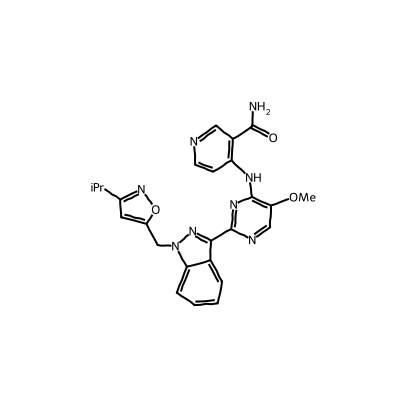 COc1cnc(-c2nn(Cc3cc(C(C)C)no3)c3ccccc23)nc1Nc1ccncc1C(N)=O